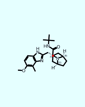 COc1ccc2[nH]c(C[C@@H]3C[C@H]4CC[C@@H](C3)N4CC(=O)NC(C)(C)C)nc2c1C